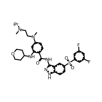 CC(C)N(C)CCN(C)c1ccc(C(=O)Nc2n[nH]c3ccc(S(=O)(=O)c4cc(F)cc(F)c4)cc23)c(NC2CCOCC2)c1